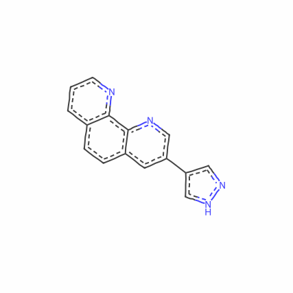 c1cnc2c(c1)ccc1cc(-c3cn[nH]c3)cnc12